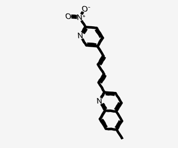 Cc1ccc2nc(/C=C/C=C/c3ccc([N+](=O)[O-])nc3)ccc2c1